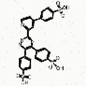 O=S(=O)(O)c1ccc(-c2ccnc(-c3nnc(-c4ccc(S(=O)(=O)O)cc4)c(-c4ccc(S(=O)(=O)O)cc4)n3)c2)cc1